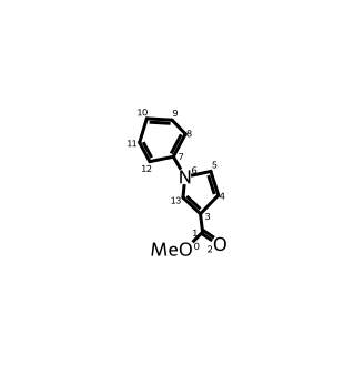 COC(=O)c1ccn(-c2ccccc2)c1